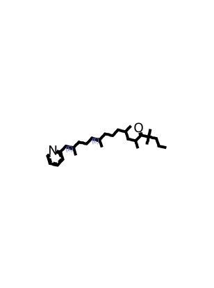 CCCC(C)(C)C(=O)C(C)CC(C)CCC/C(C)=C/CC/C(C)=C/c1ccccn1